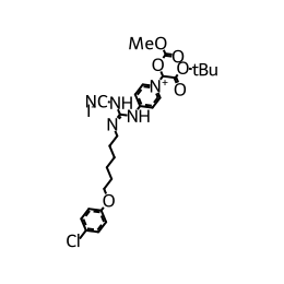 COC(=O)OC(C(=O)OC(C)(C)C)[n+]1ccc(N/C(=N\CCCCCCOc2ccc(Cl)cc2)NC#N)cc1.[I-]